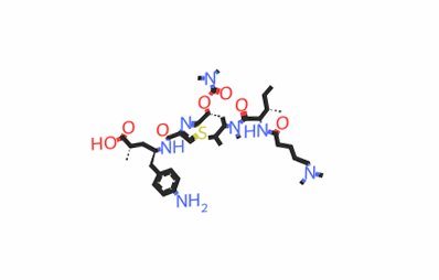 CC[C@H](C)[C@H](NC(=O)CCCCN(C)C)C(=O)N(C)C(C[C@@H](OC(=O)N(C)C)c1nc(C(=O)N[C@@H](Cc2ccc(N)cc2)C[C@H](C)C(=O)O)cs1)C(C)C